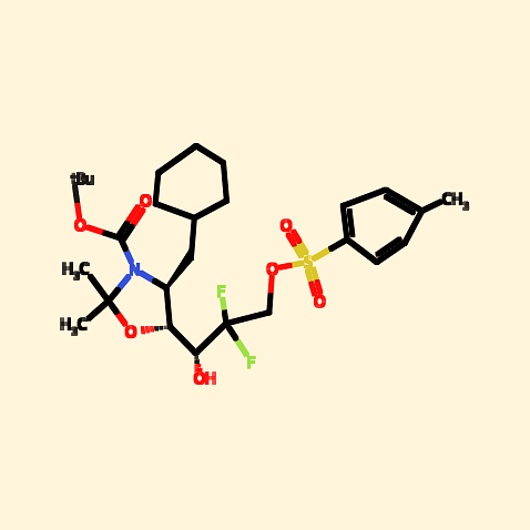 Cc1ccc(S(=O)(=O)OCC(F)(F)[C@H](O)[C@@H]2OC(C)(C)N(C(=O)OC(C)(C)C)[C@H]2CC2CCCCC2)cc1